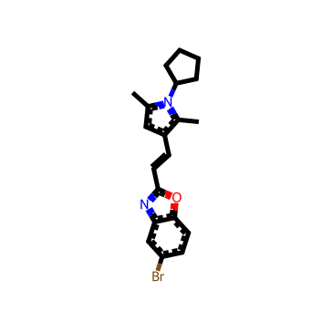 Cc1cc(C=Cc2nc3cc(Br)ccc3o2)c(C)n1C1CCCC1